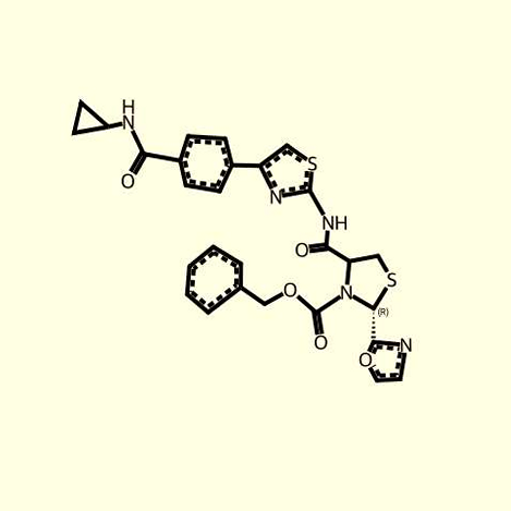 O=C(NC1CC1)c1ccc(-c2csc(NC(=O)C3CS[C@H](c4ncco4)N3C(=O)OCc3ccccc3)n2)cc1